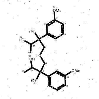 CCCC(COCC(CCC)(c1cccc(OC)c1)C(C)O)(c1cccc(OC)c1)C(C)O